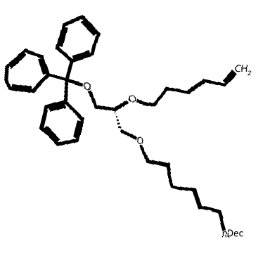 C=CCCCCO[C@H](COCCCCCCCCCCCCCCCC)COC(c1ccccc1)(c1ccccc1)c1ccccc1